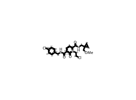 COCC1(CNC(=O)c2ccc(C(=O)NCc3ccc(Cl)cc3)c(=O)n2CCCl)CC1